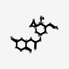 C=C[C@H]1O[C@H](CC(=O)ON2CC(=O)CCC2=O)C[C@@]2(CO2)[C@@H]1O